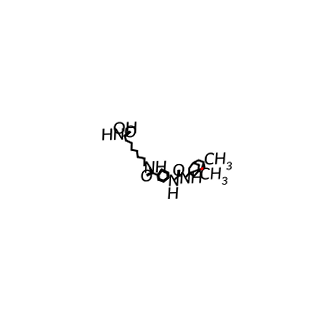 C[C@]12CC3CC(NC(=O)Nc4ccc(C(=O)NCCCCCCCC(=O)NO)cc4)(C1)C[C@@](C)(C3)C2